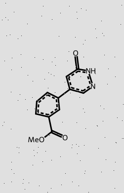 COC(=O)c1cccc(-c2cn[nH]c(=O)c2)c1